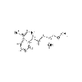 COC[C@H](O)CNc1ncc(Br)c2nccnc12